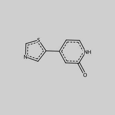 O=c1cc(-c2cncs2)cc[nH]1